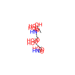 C/C=C/C=C/[C@@H]1O[C@](O)(C(CC)C(=O)NC/C=C/C=C(\C)C(OC)C(C)[C@@H]2O[C@H](/C=C/C=C/C=C(\C)C(=O)c3c(O)[nH]ccc3=O)[C@H](O)[C@@H]2O)[C@H](O)[C@H](O)C1(C)C